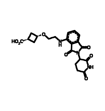 O=C1CCC(N2C(=O)c3cccc(NCCO[C@H]4C[C@@H](C(=O)O)C4)c3C2=O)C(=O)N1